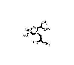 CC(O)CN(CC(C)O)CP(=O)(O)O